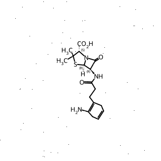 CC1(C)S[C@@H]2[C@H](NC(=O)CCC3=C(N)CC=CC3)C(=O)N2[C@H]1C(=O)O